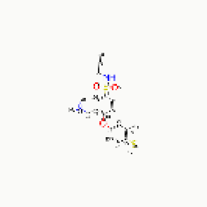 C#CCNS(=O)(=O)c1ccc(Oc2ccc(SC)c(C)c2)c(CN(C)C)c1